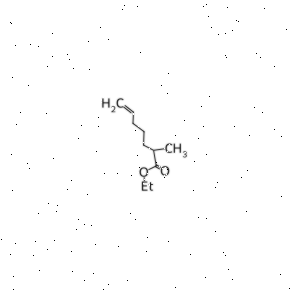 C=CCCCC(C)C(=O)OCC